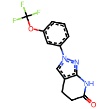 O=C1CCc2cn(-c3cccc(OC(F)(F)F)c3)nc2N1